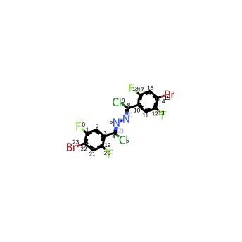 Fc1cc(/C(Cl)=N/N=C(\Cl)c2cc(F)c(Br)cc2F)c(F)cc1Br